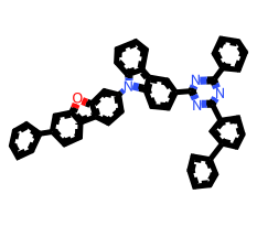 c1ccc(-c2cccc(-c3nc(-c4ccccc4)nc(-c4ccc5c(c4)c4ccccc4n5-c4ccc5c(c4)oc4cc(-c6ccccc6)ccc45)n3)c2)cc1